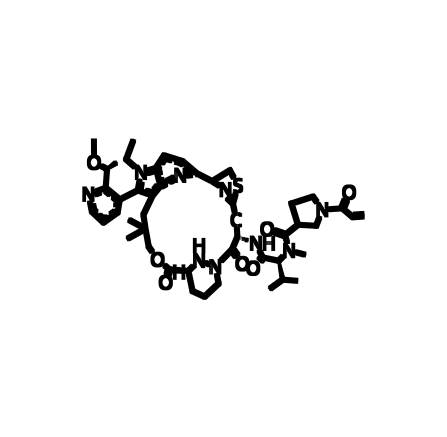 C=CC(=O)N1CCC(C(=O)N(C)[C@H](C(=O)N[C@H]2CC3=NC(CS3)c3ccc4c(n3)c(c(-c3cccnc3[C@H](C)OC)n4CC)CC(C)(C)COC(=O)[C@@H]3CCCN(N3)C2=O)C(C)C)C1